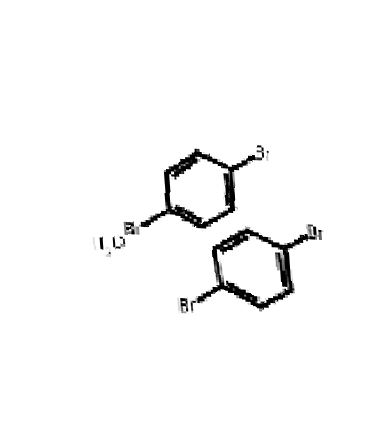 Brc1ccc(Br)cc1.Brc1ccc(Br)cc1.O